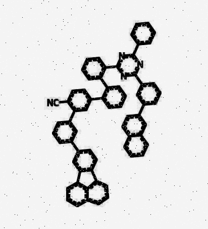 N#Cc1ccc(-c2ccccc2-c2ccccc2-c2nc(-c3ccccc3)nc(-c3cccc(-c4ccc5ccccc5c4)c3)n2)cc1-c1cccc(-c2ccc3c(c2)-c2cccc4cccc-3c24)c1